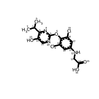 CC(C)c1nc(Oc2c(Cl)cc(NCC(=O)O)cc2Cl)ncc1O